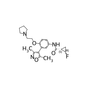 Cc1noc(C)c1-c1cc(NC(=O)[C@@H]2C[C@H]2F)ccc1OCCN1CCCC1